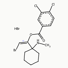 Br.CNC1(/C(=C\Br)OC(=O)c2ccc(Cl)c(Cl)c2)CCCCC1